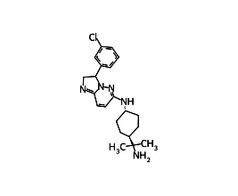 CC(C)(N)[C@H]1CC[C@H](NC2=NN3C(=NCC3c3cccc(Cl)c3)C=C2)CC1